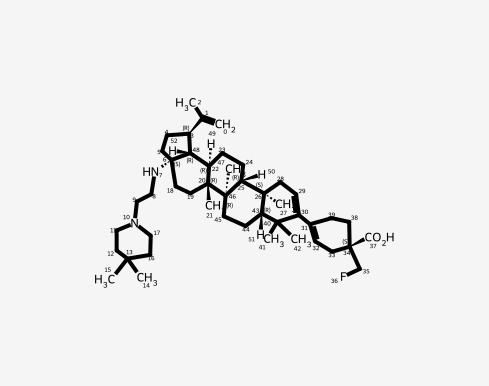 C=C(C)[C@@H]1CC[C@]2(NCCN3CCC(C)(C)CC3)CC[C@]3(C)[C@H](CC[C@@H]4[C@@]5(C)CC=C(C6=CC[C@](CF)(C(=O)O)CC6)C(C)(C)[C@@H]5CC[C@]43C)[C@@H]12